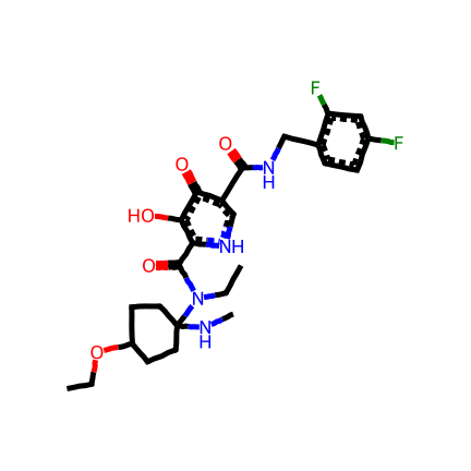 CCOC1CCC(NC)(N(CC)C(=O)c2[nH]cc(C(=O)NCc3ccc(F)cc3F)c(=O)c2O)CC1